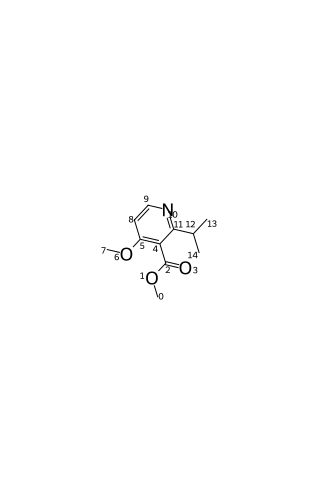 COC(=O)c1c(OC)ccnc1C(C)C